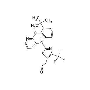 CC(C)(C)c1ccccc1Oc1ncccc1Nc1nc(C(F)(F)F)c(CC=O)s1